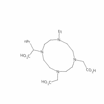 CCCC(C(=O)O)N1CCN(CC)CCN(CC(=O)O)CCN(CC(=O)O)CC1